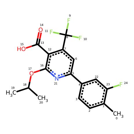 Cc1ccc(-c2cc(C(F)(F)F)c(C(=O)O)c(OC(C)C)n2)cc1F